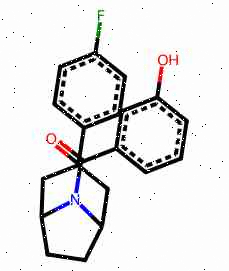 O=C(c1cccc(O)c1)N1C2CCC1CC(c1ccc(F)cc1)C2